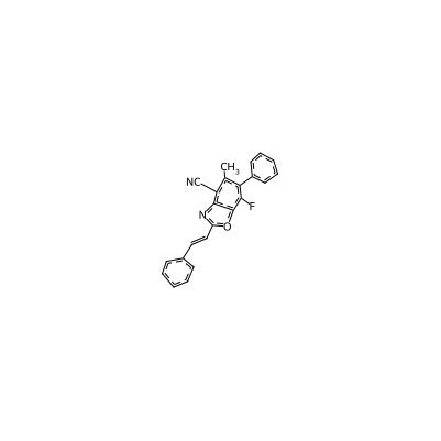 Cc1c(-c2ccccc2)c(F)c2oc(C=Cc3ccccc3)nc2c1C#N